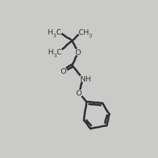 CC(C)(C)OC(=O)NOc1ccccc1